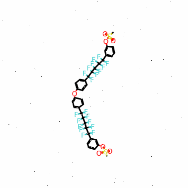 CS(=O)(=O)Oc1cccc(C(F)(F)C(F)(F)C(F)(F)C(F)(F)C(F)(F)c2ccc(Oc3ccc(C(F)(F)C(F)(F)C(F)(F)C(F)(F)C(F)(F)c4cccc(OS(C)(=O)=O)c4)cc3)cc2)c1